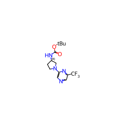 CC(C)(C)OC(=O)N[C@@H]1CCN(c2cncc(C(F)(F)F)n2)C1